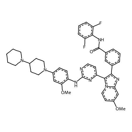 COc1ccn2c(-c3ccnc(Nc4ccc(N5CCC(N6CCCCC6)CC5)cc4OC)n3)c(-c3cccc(C(=O)Nc4c(F)cccc4F)c3)nc2c1